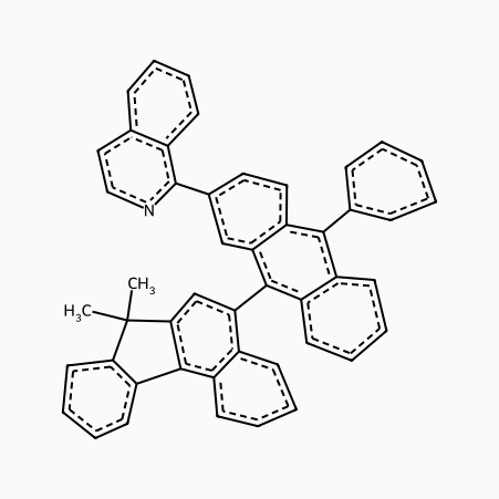 CC1(C)c2ccccc2-c2c1cc(-c1c3ccccc3c(-c3ccccc3)c3ccc(-c4nccc5ccccc45)cc13)c1ccccc21